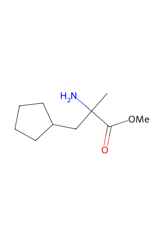 COC(=O)C(C)(N)CC1CCCC1